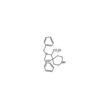 CCOC(=O)C(N(Cc1ccccc1)Cc1ccccc1)C1(O)CCNCC1